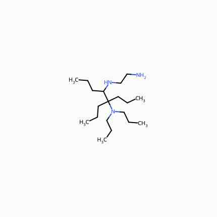 CCCC(NCCN)C(CCC)(CCC)N(CCC)CCC